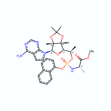 CCCCOC(=O)[C@H](C)NP(=O)(Oc1cccc2ccccc12)O[C@H](C)[C@H]1O[C@@H](n2ccc3c(N)ncnc32)[C@]2(C)OC(C)(C)O[C@H]12